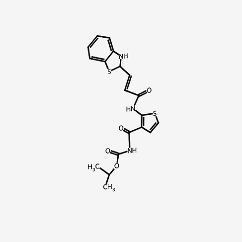 CC(C)OC(=O)NC(=O)c1ccsc1NC(=O)/C=C/C1Nc2ccccc2S1